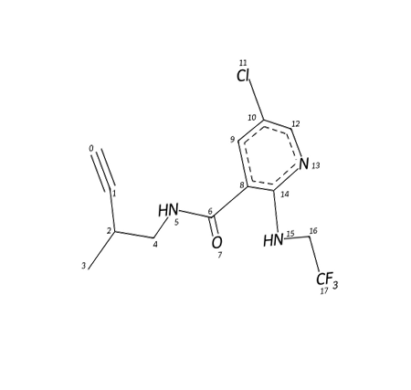 C#CC(C)CNC(=O)c1cc(Cl)cnc1NCC(F)(F)F